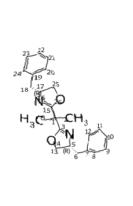 CC(C)(C1=N[C@H](Cc2ccccc2)CO1)C1=N[C@H](Cc2ccccc2)CO1